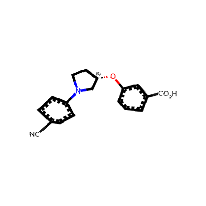 N#Cc1ccc(N2CC[C@H](Oc3cccc(C(=O)O)c3)C2)cc1